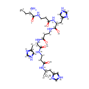 CC(C)C[C@H](N)C(=O)NCCC(=O)N[C@@H](Cc1c[nH]cn1)C(=O)NCCC(=O)N[C@@H](Cc1c[nH]cn1)C(=O)NCCC(=O)N[C@@H](Cc1c[nH]cn1)C(=O)O